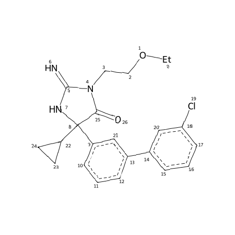 CCOCCN1C(=N)NC(c2cccc(-c3cccc(Cl)c3)c2)(C2CC2)C1=O